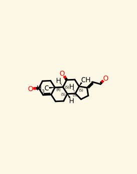 C[C@]12CCC(=O)C=C1CC[C@@H]1[C@@H]2C(=O)C[C@]2(C)C(=CC=O)CC[C@@H]12